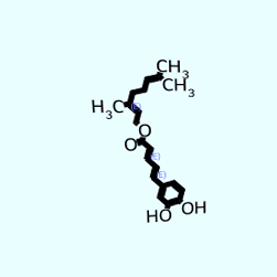 CC(C)=CCC/C(C)=C/COC(=O)/C=C/C=C/c1ccc(O)c(O)c1